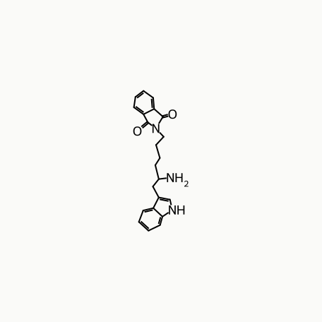 NC(CCCCN1C(=O)c2ccccc2C1=O)Cc1c[nH]c2ccccc12